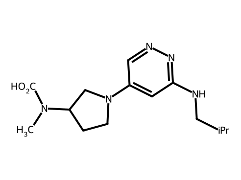 CC(C)CNc1cc(N2CCC(N(C)C(=O)O)C2)cnn1